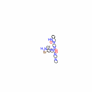 Nc1c(Br)cc(CC(NC(=O)N2CCC(N3CCc4ccccc4NC3=O)CC2)C(=O)N2CCC(N3CCCCC3)CC2)cc1C(F)(F)F